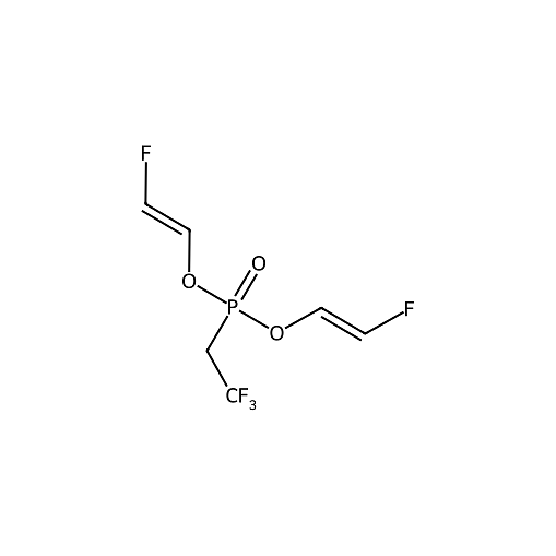 O=P(CC(F)(F)F)(OC=CF)OC=CF